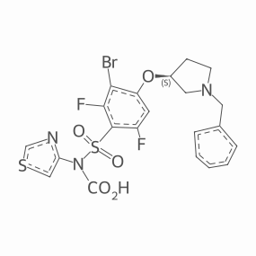 O=C(O)N(c1cscn1)S(=O)(=O)c1c(F)cc(O[C@H]2CCN(Cc3ccccc3)C2)c(Br)c1F